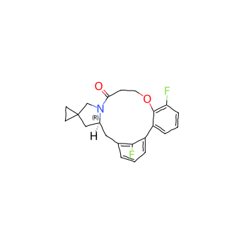 O=C1CCOc2c(F)cccc2-c2cccc(c2F)C[C@H]2CC3(CC3)CN12